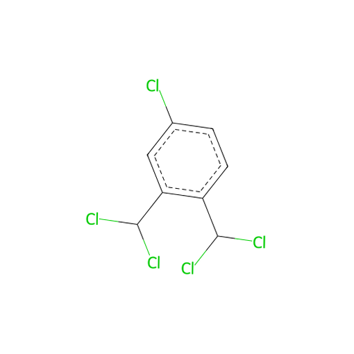 Clc1ccc(C(Cl)Cl)c(C(Cl)Cl)c1